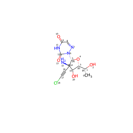 C[C@@H](O)[C@H]1O[C@@H](n2ncc(=O)[nH]c2=O)[C@@](N)(C#CCl)C1O